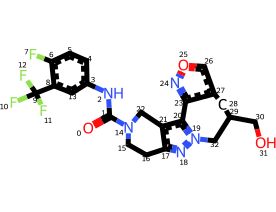 O=C(Nc1ccc(F)c(C(F)(F)F)c1)N1CCc2nn3c(c2C1)-c1nocc1CC(CO)C3